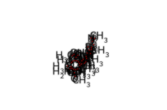 CC[C@H]1OC(=O)[C@H](C)C([C@H]2C[C@@](C)(OC)[C@@H](O)[C@H](C)O2)[C@H](C)[C@@H](O[C@@H]2O[C@H](C)C[C@H](N(C)Cc3cn([C@H](CF)[C@H](OC)c4ccc(-c5ccc(C)nc5)cc4)nn3)[C@H]2O)[C@](C)(OC)C[C@@H](C)C(=O)[C@H](C)[C@@H](CNCCOC)[C@]1(C)OC(N)=O